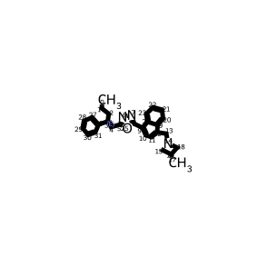 CCC/C(=C\c1nnc(-c2ccc(CN3CC(C)C3)c3ccccc23)o1)c1ccccc1